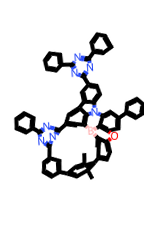 Cc1cc2cc(C)c1-c1ccc3c(c1)B1c4c(cc(-c5ccccc5)cc4-n4c5ccc(-c6nc(-c7ccccc7)nc(-c7ccccc7)n6)cc5c5cc(cc1c54)-c1nc(-c4ccccc4)nc(n1)-c1cccc-2c1)O3